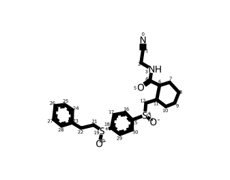 N#CCNC(=O)C1CCCCC1C[S+]([O-])c1ccc([S+]([O-])CCc2ccccc2)cc1